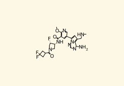 CNCc1cc(-c2cnc(OC)c(C(=O)N[C@@H]3CN(C(=O)C4CC(F)(F)C4)C[C@@H]3F)c2)n2ncnc(N)c12